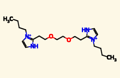 CCCC[n+]1cc[nH]c1CCOCCOCCc1[nH]cc[n+]1CCCC